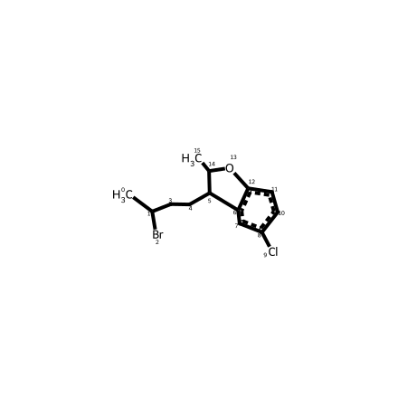 CC(Br)CCC1c2cc(Cl)ccc2OC1C